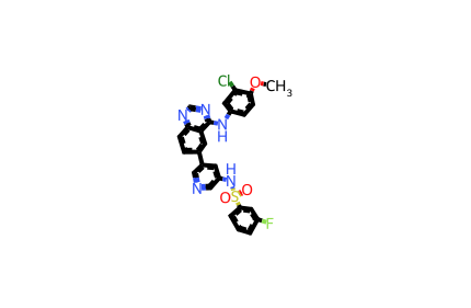 COc1ccc(Nc2ncnc3ccc(-c4cncc(NS(=O)(=O)c5cccc(F)c5)c4)cc23)cc1Cl